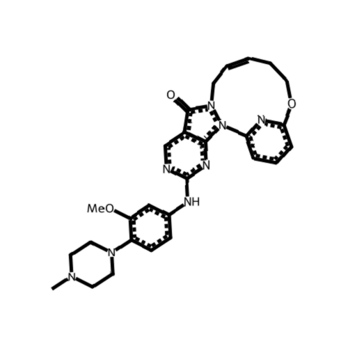 COc1cc(Nc2ncc3c(=O)n4n(c3n2)-c2cccc(n2)OCC/C=C\C4)ccc1N1CCN(C)CC1